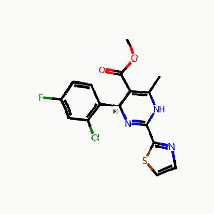 COC(=O)C1=C(C)NC(c2nccs2)=N[C@H]1c1ccc(F)cc1Cl